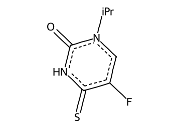 CC(C)n1cc(F)c(=S)[nH]c1=O